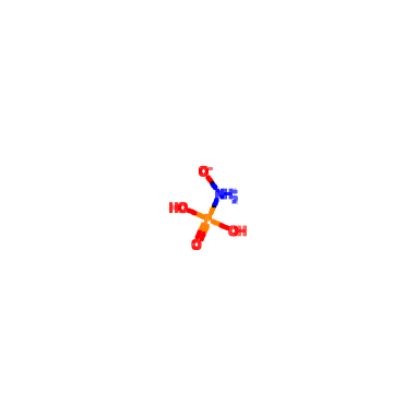 O=P(O)(O)[NH2+][O-]